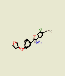 Cc1ccc([C@H](N)[C@H](O)c2ccc(OC3CCOC3)cc2)cc1Cl